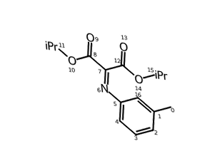 Cc1cccc(N=C(C(=O)OC(C)C)C(=O)OC(C)C)c1